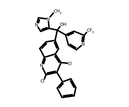 Cn1cncc1C(O)(c1ccnc(C(F)(F)F)c1)c1ccc2nc(Cl)c(-c3ccccc3)c(Cl)c2c1